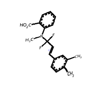 Cc1ccc(/C=C/C(F)(F)N(C)c2ccccc2C(=O)O)cc1C